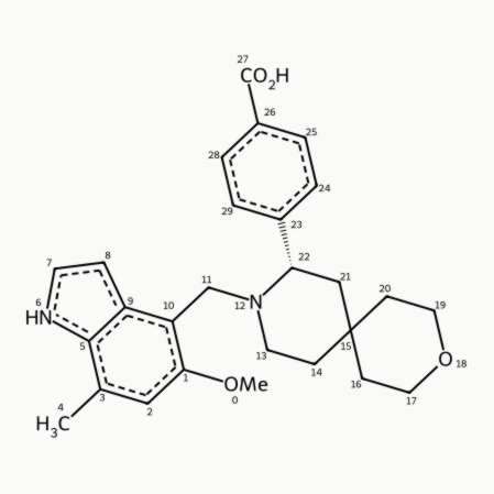 COc1cc(C)c2[nH]ccc2c1CN1CCC2(CCOCC2)C[C@H]1c1ccc(C(=O)O)cc1